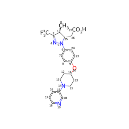 C[C@@H]1C(C(F)(F)F)=NN(c2ccc(OC3CCN(c4cccnc4)CC3)cc2)[C@H]1CC(=O)O